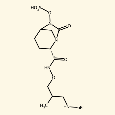 CCCNCC(C)CONC(=O)[C@@H]1CCC2CN1C(=O)N2OS(=O)(=O)O